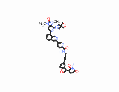 Cn1c(=O)n(C)c2c(N3CC4(COC4)C3)nc(-c3cccc4cc(-c5ccc(C(=O)NCC#Cc6ccc7occ(C8CCC(=O)NC8=O)c7c6)nc5)ncc34)cc21